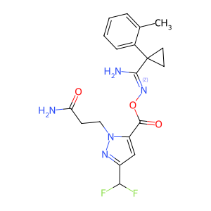 Cc1ccccc1C1(/C(N)=N/OC(=O)c2cc(C(F)F)nn2CCC(N)=O)CC1